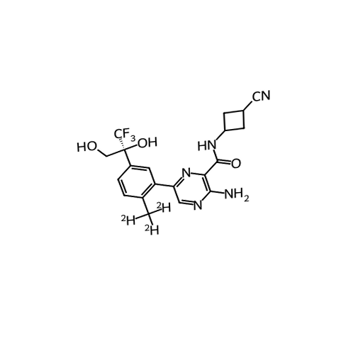 [2H]C([2H])([2H])c1ccc([C@](O)(CO)C(F)(F)F)cc1-c1cnc(N)c(C(=O)NC2CC(C#N)C2)n1